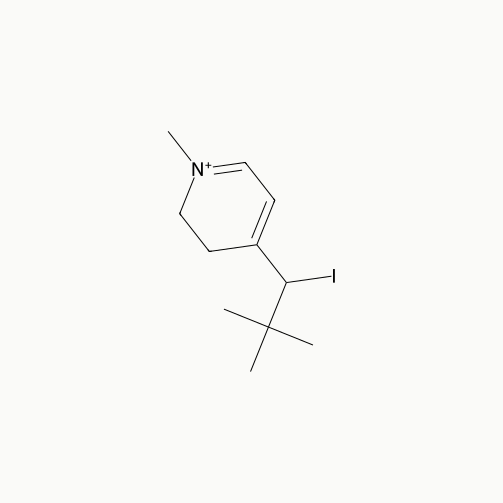 C[N+]1=CC=C(C(I)C(C)(C)C)CC1